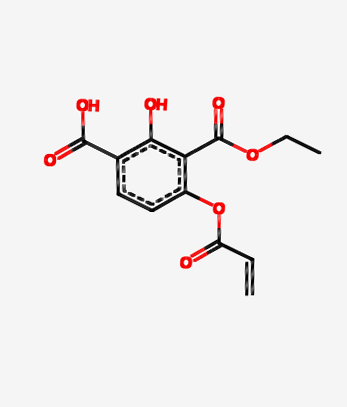 C=CC(=O)Oc1ccc(C(=O)O)c(O)c1C(=O)OCC